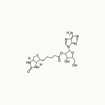 Nc1ncnc2c1ncn2C1OC(CO)C(O)C1OC(=O)CCCC[C@@H]1SC[C@@H]2NC(=O)N[C@@H]21